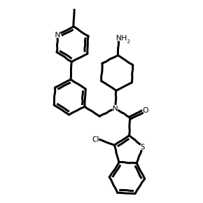 Cc1ccc(-c2cccc(CN(C(=O)c3sc4ccccc4c3Cl)C3CCC(N)CC3)c2)cn1